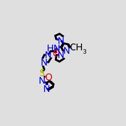 Cc1cc(N2CCCC2)c(NC(=O)CN2CCN(CCSc3nc4ncccc4o3)CC2)c(N2CCCC2)n1